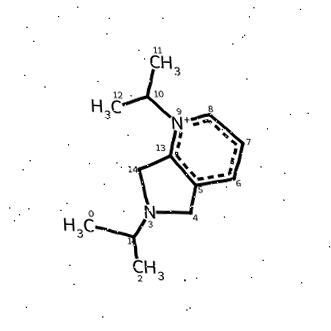 CC(C)N1Cc2ccc[n+](C(C)C)c2C1